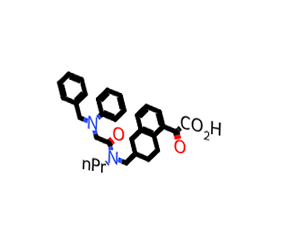 CCCN(CC1CCc2c(cccc2C(=O)C(=O)O)C1)C(=O)CN(Cc1ccccc1)c1ccccc1